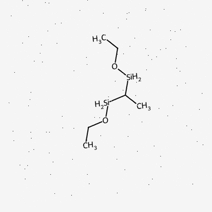 CCO[SiH2]C(C)[SiH2]OCC